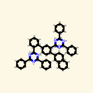 c1ccc(-c2nc(-c3ccccc3)nc(-c3ccccc3-c3ccc(-c4ccc5ccccc5c4)c(-c4nc(-c5ccccc5)nc(-c5ccccc5)n4)c3)n2)cc1